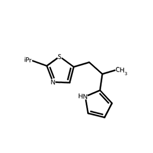 CC(C)c1ncc(CC(C)c2ccc[nH]2)s1